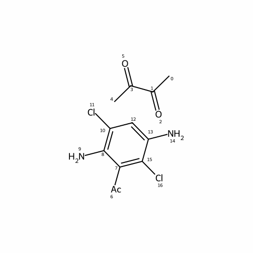 CC(=O)C(C)=O.CC(=O)c1c(N)c(Cl)cc(N)c1Cl